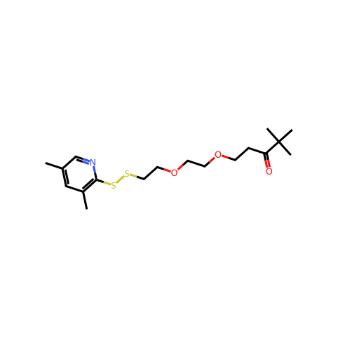 Cc1cnc(SSCCOCCOCCC(=O)C(C)(C)C)c(C)c1